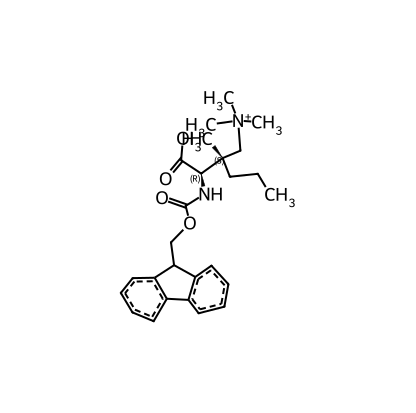 CCC[C@@](C)(C[N+](C)(C)C)[C@@H](NC(=O)OCC1c2ccccc2-c2ccccc21)C(=O)O